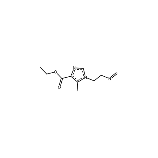 C=NCCn1cnc(C(=O)OCC)c1C